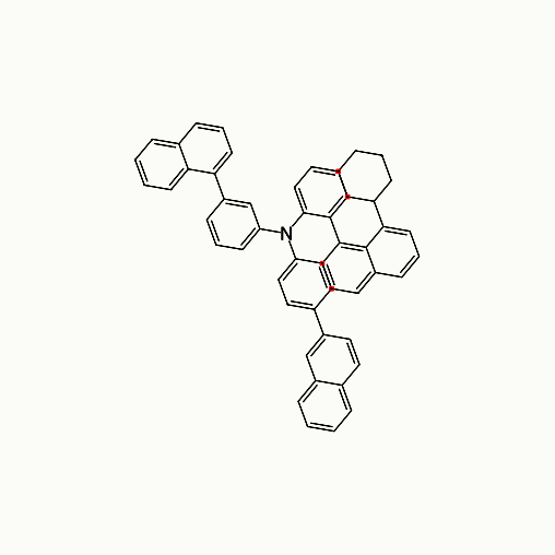 c1cc(-c2cccc3ccccc23)cc(N(c2ccc(-c3ccc4ccccc4c3)cc2)c2ccccc2-c2cccc3cccc(C4CCCCC4)c23)c1